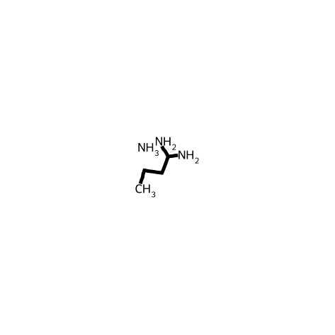 CCCC(N)N.N